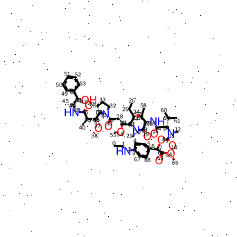 CCNc1ccc(C(OC(=O)N(C)[C@H](C(=O)N[C@H](C(=O)N(C)[C@@H]([C@@H](C)CC)[C@@H](CC(=O)N2CCC[C@H]2[C@H](OC)[C@@H](C)C(=O)N[C@H](C)[C@@H](O)c2ccccc2)OC)C(C)C)C(C)C)C(=O)OC)cc1